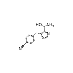 CC(O)c1nccn1Cc1ccc(C#N)cc1